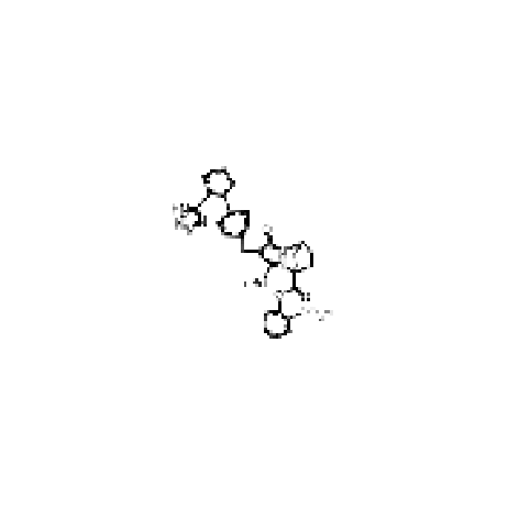 CCCCc1c(Cc2ccc(-c3ccccc3-c3nnn[nH]3)cc2)c(=O)n2n1C1(C(=O)Oc3ccccc3C(=O)OCC)CCC2CC1